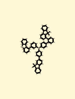 CC1(C)c2ccccc2-c2ccc(-c3ccc(N(c4ccc(-c5ccccc5-c5cccc6c5C(C)(C)c5ccccc5-6)cc4)c4cccc(-c5cccc6oc7ccccc7c56)c4)cc3)cc21